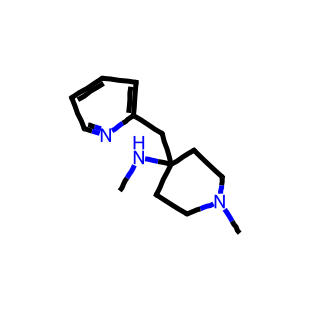 CNC1(Cc2ccccn2)CCN(C)CC1